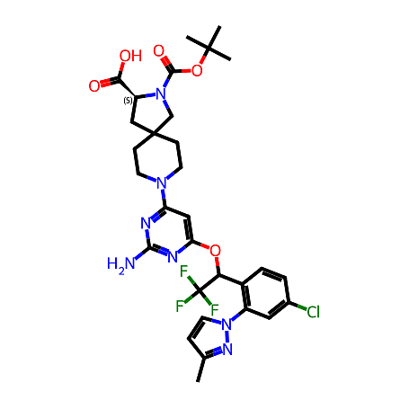 Cc1ccn(-c2cc(Cl)ccc2C(Oc2cc(N3CCC4(CC3)C[C@@H](C(=O)O)N(C(=O)OC(C)(C)C)C4)nc(N)n2)C(F)(F)F)n1